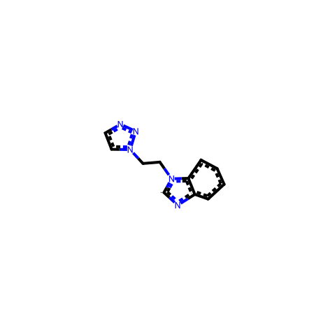 [c]1nc2ccccc2n1CCn1ccnn1